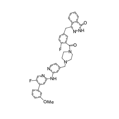 COc1cccc(-c2cc(Nc3cc(CN4CCN(C(=O)c5cc(Cc6n[nH]c(=O)c7ccccc67)ccc5F)CC4)ccn3)ncc2F)c1